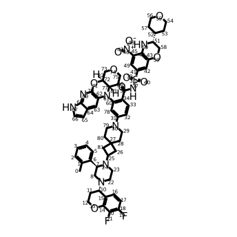 Cc1ccccc1[C@@H]1CN([C@H]2CCOc3c2ccc(F)c3F)CCN1C1CC2(CCN(c3ccc(C(=O)NS(=O)(=O)c4cc5c(c([N+](=O)[O-])c4)N[C@H](C4CCOCC4)CO5)c(N4c5cc6cc[nH]c6nc5O[C@H]5COCC[C@@H]54)c3)CC2)C1